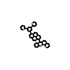 C1=CC2=C(c3c4ccccc4nc4c3ccc3cccnc34)C=CC3=CC=C4C(c5cc(-c6ccccn6)cc(-c6ccccn6)c5)=CC=C1C4C32